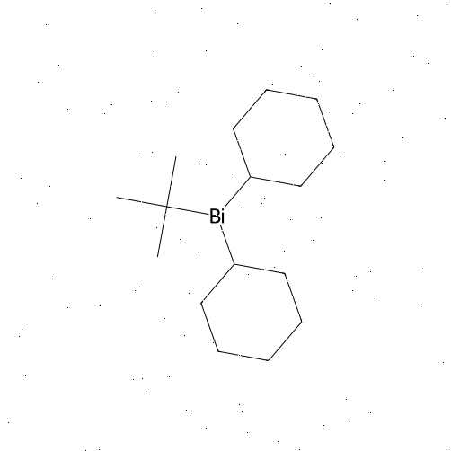 C[C](C)(C)[Bi]([CH]1CCCCC1)[CH]1CCCCC1